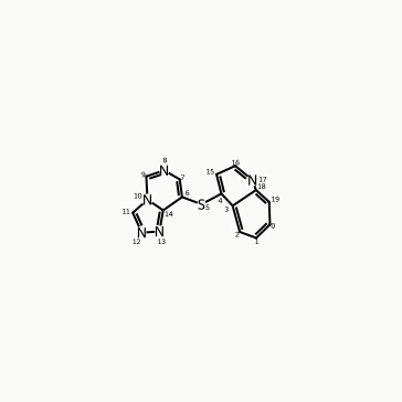 c1ccc2c(Sc3cncn4cnnc34)ccnc2c1